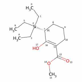 CC[Si](CC)(CC)[C@@H]1CCCC(C(=O)OC)=C1O